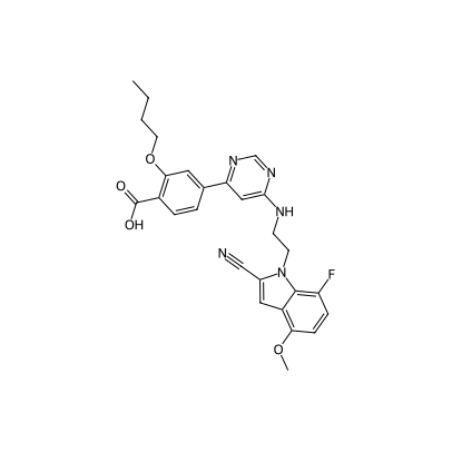 CCCCOc1cc(-c2cc(NCCn3c(C#N)cc4c(OC)ccc(F)c43)ncn2)ccc1C(=O)O